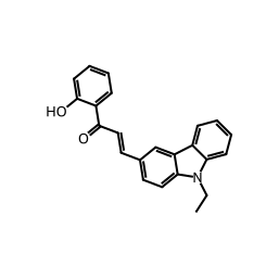 CCn1c2ccccc2c2cc(C=CC(=O)c3ccccc3O)ccc21